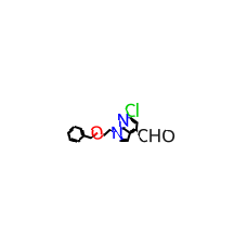 O=Cc1cc(Cl)nc2c1ccn2CCOCc1ccccc1